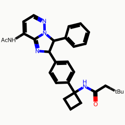 CC(=O)NC1=CC=NN2C1=NC(c1ccc(C3(NC(=O)CC(C)(C)C)CCC3)cc1)C2c1ccccc1